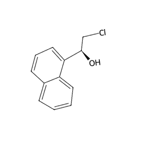 O[C@H](CCl)c1cccc2ccccc12